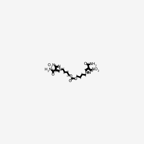 NC(=O)c1cn(CCCCOC(=O)OCCCCn2cc(C(N)=O)c([N+](=O)[O-])n2)nc1[N+](=O)[O-]